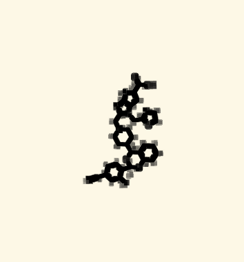 C[C@@]1(c2ccc(C#N)cc2F)Oc2ccccc2[C@H](C2CCN(Cc3nc4sc(C(=O)O)cc4n3Cc3ncco3)CC2)O1